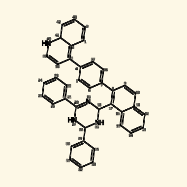 C1=CC2=C(c3ccc(-c4ccc5ccccc5c4C4N=C(c5ccccc5)NC(c5ccccc5)N4)cc3)C=CNC2C=C1